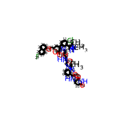 Cc1nn(C)c(C)c1-c1c(Cl)ccc2c(CCCOc3cccc4cc(F)ccc34)c(C(=O)O)n(CCCNC(=O)Cn3c(C)nc4c(C(=O)NC5CCC(=O)NC5=O)cccc43)c12